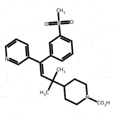 CC(C)(C=C(c1cccnc1)c1cccc(S(C)(=O)=O)c1)C1CCN(C(=O)O)CC1